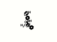 Cc1nn(-c2ccccc2)nc1C(=O)Nc1ccc([C@@H]2CNCCO2)cc1